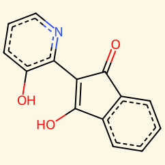 O=C1C(c2ncccc2O)=C(O)c2ccccc21